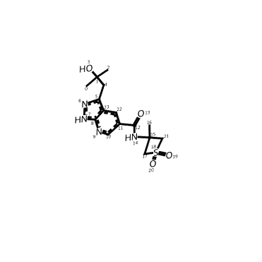 CC(C)(O)Cc1n[nH]c2ncc(C(=O)NC3(C)CS(=O)(=O)C3)cc12